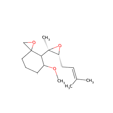 COC1[CH]CCC2(CO2)C1[C@@]1(C)O[C@@H]1CC=C(C)C